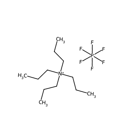 CCC[N+](CCC)(CCC)CCC.F[P-](F)(F)(F)(F)F